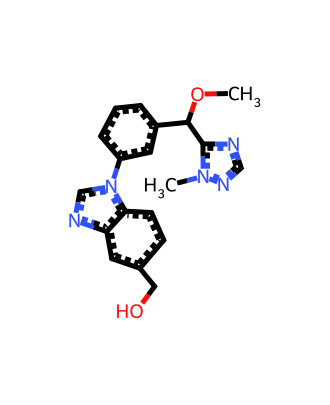 COC(c1cccc(-n2cnc3cc(CO)ccc32)c1)c1ncnn1C